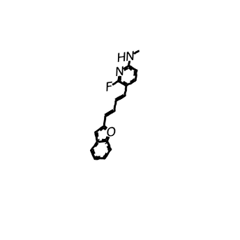 CNc1ccc(/C=C/C=C/c2cc3ccccc3o2)c(F)n1